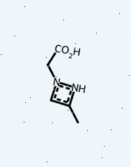 Cc1cn(CC(=O)O)[nH]1